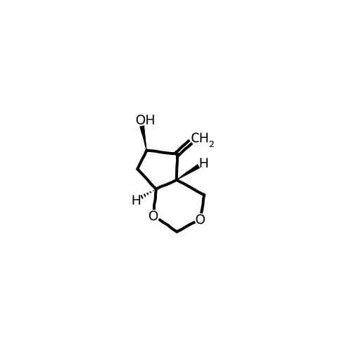 C=C1[C@H](O)C[C@@H]2OCOC[C@@H]12